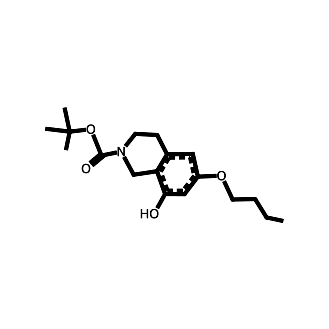 CCCCOc1cc(O)c2c(c1)CCN(C(=O)OC(C)(C)C)C2